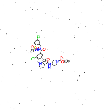 CCS(=O)(=O)c1ccc(Cl)cc1CNC(=O)c1cc(Cl)c(CN2CCC[C@H](C(=O)NC3CCN(C(=O)OC(C)(C)C)CC3)C2)c(C(F)(F)F)c1